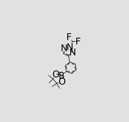 CC1(C)OB(c2cccc(-c3cnn(C(F)F)n3)c2)OC1(C)C